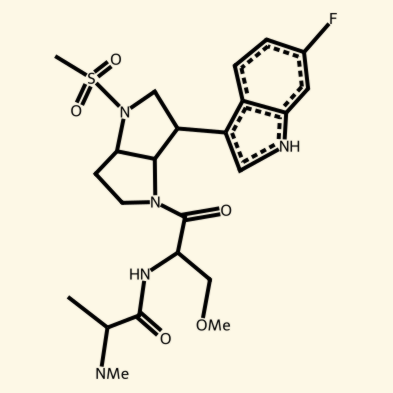 CNC(C)C(=O)NC(COC)C(=O)N1CCC2C1C(c1c[nH]c3cc(F)ccc13)CN2S(C)(=O)=O